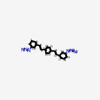 [N-]=[N+]=Nc1cccc(C=Cc2ccc(C=Cc3cccc(N=[N+]=[N-])c3)cc2)c1